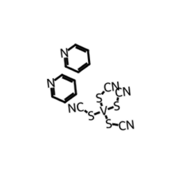 N#C[S][V]([S]C#N)([S]C#N)[S]C#N.c1ccncc1.c1ccncc1